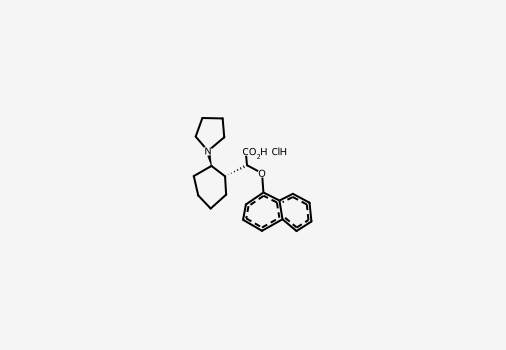 Cl.O=C(O)C(Oc1cccc2ccccc12)[C@@H]1CCCC[C@H]1N1CCCC1